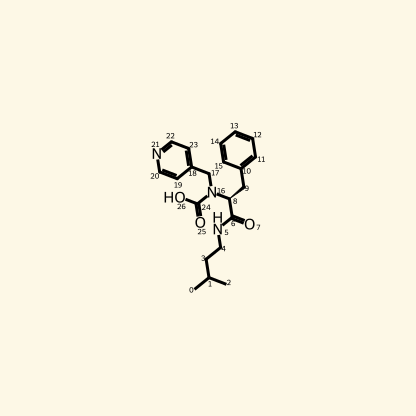 CC(C)CCNC(=O)[C@H](Cc1ccccc1)N(Cc1ccncc1)C(=O)O